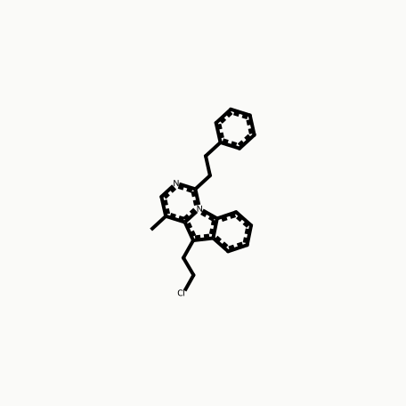 Cc1cnc(CCc2ccccc2)n2c1c(CCCl)c1ccccc12